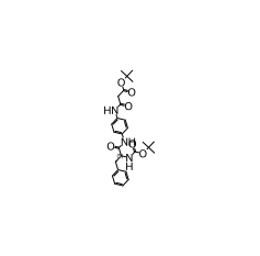 CC(C)(C)OC(=O)CC(=O)Nc1ccc(NC(=O)[C@H](Cc2ccccc2)NC(=O)OC(C)(C)C)cc1